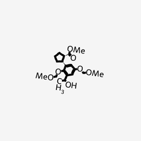 COCOc1cc(C(C)O)c(OCOC)c([C@@H]2CCC[C@@H]2C(=O)OC)c1